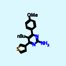 CCCCc1c(-c2ccc(OC)cc2)nc(N)nc1-c1ccsc1